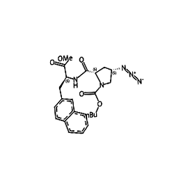 CCCCOC(=O)N1C[C@@H](N=[N+]=[N-])C[C@H]1C(=O)N[C@@H](Cc1ccc2ccccc2c1)C(=O)OC